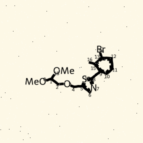 COC(COCc1cnc(-c2cccc(Br)c2C)s1)OC